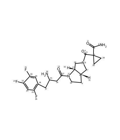 NC(=O)C1(C(=O)N2C[C@@H]3CCN(C(=O)CC(N)Cc4cc(F)c(F)cc4F)[C@@H]3C2)CC1